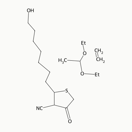 C=C.CCOC(C)OCC.N#CC1C(=O)CSC1CCCCCCCO